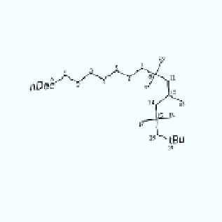 CCCCCCCCCCCCCCCCCC(C)(C)CC(C)CC(C)(C)CC(C)(C)C